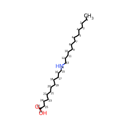 CCCCCCCCCCCCCCNCCCCCCCCCCCC(=O)O